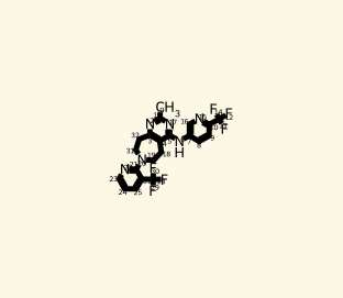 Cc1nc2c(c(Nc3ccc(C(F)(F)F)nc3)n1)CCN(c1ncccc1C(F)(F)F)CC2